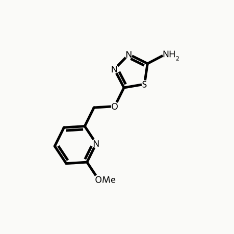 COc1cccc(COc2nnc(N)s2)n1